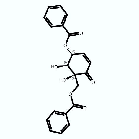 O=C(OC[C@@]1(O)C(=O)C=C[C@@H](OC(=O)c2ccccc2)[C@@H]1O)c1ccccc1